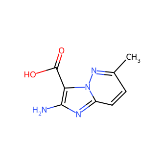 Cc1ccc2nc(N)c(C(=O)O)n2n1